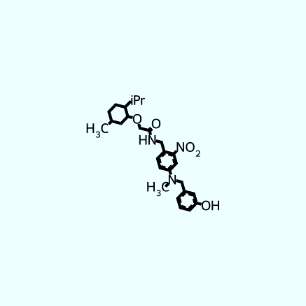 CC1CCC(C(C)C)C(OCC(=O)NCc2ccc(N(C)Cc3cccc(O)c3)cc2[N+](=O)[O-])C1